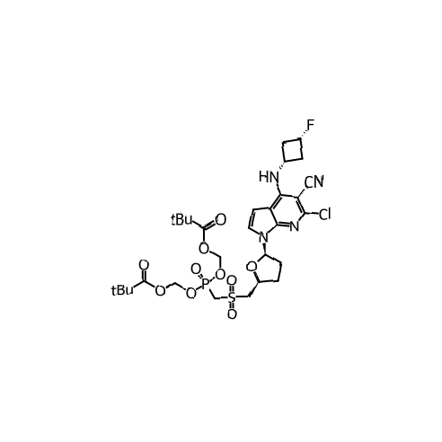 CC(C)(C)C(=O)OCOP(=O)(CS(=O)(=O)C[C@@H]1CC[C@H](n2ccc3c(N[C@H]4C[C@@H](F)C4)c(C#N)c(Cl)nc32)O1)OCOC(=O)C(C)(C)C